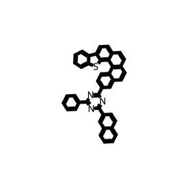 c1ccc(-c2nc(-c3ccc4ccccc4c3)nc(-c3ccc4c(ccc5ccc6ccc7c8ccccc8sc7c6c54)c3)n2)cc1